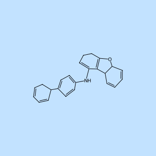 C1=CCC(c2ccc(NC3=CCCC4=C3C3C=CC=CC3O4)cc2)C=C1